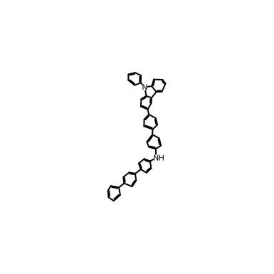 c1ccc(-c2ccc(-c3ccc(Nc4ccc(-c5ccc(-c6ccc7c(c6)c6ccccc6n7-c6ccccc6)cc5)cc4)cc3)cc2)cc1